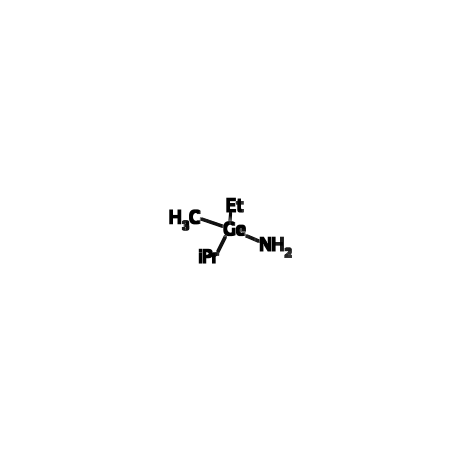 C[CH2][Ge]([CH3])([NH2])[CH](C)C